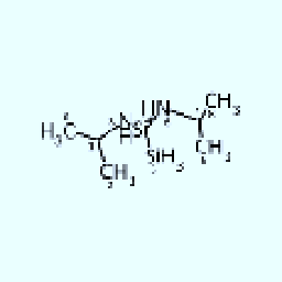 CC(C)N[SiH]([SiH3])NC(C)C